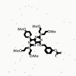 COCCN(CCOC)c1nc(N2CCC(OC)CC2)c2nc(N(CCOC)CCOC)nc(NCc3cccc(OC(F)F)c3)c2n1